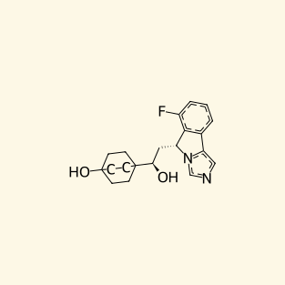 O[C@H](C[C@@H]1c2c(F)cccc2-c2cncn21)C12CCC(O)(CC1)CC2